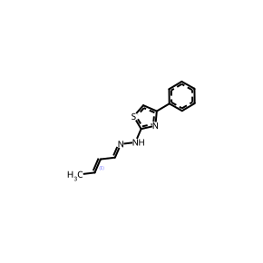 C/C=C/C=NNc1nc(-c2ccccc2)cs1